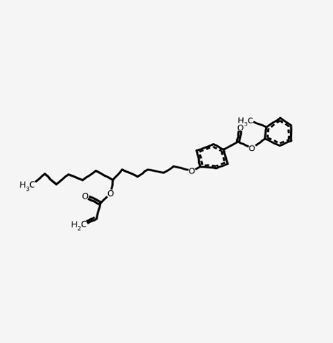 C=CC(=O)OC(CCCCCC)CCCCCOc1ccc(C(=O)Oc2ccccc2C)cc1